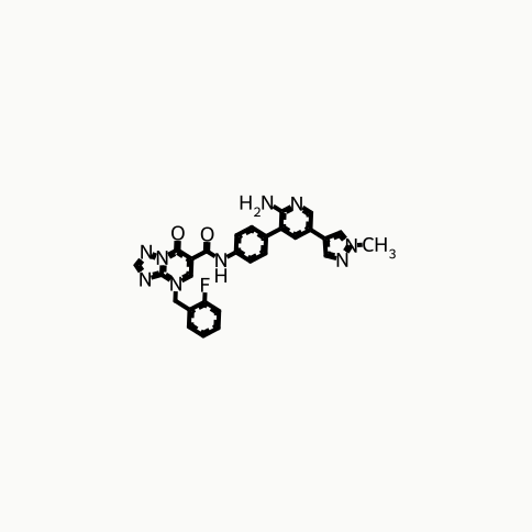 Cn1cc(-c2cnc(N)c(-c3ccc(NC(=O)c4cn(Cc5ccccc5F)c5ncnn5c4=O)cc3)c2)cn1